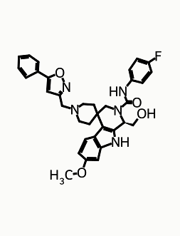 COc1ccc2c3c([nH]c2c1)[C@H](CO)N(C(=O)Nc1ccc(F)cc1)CC31CCN(Cc2cc(-c3ccccc3)on2)CC1